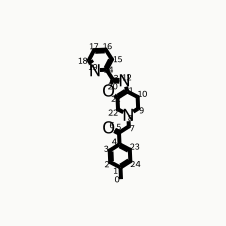 Cc1ccc(C(=O)CN2CCc3nc(-c4ccccn4)oc3C2)cc1